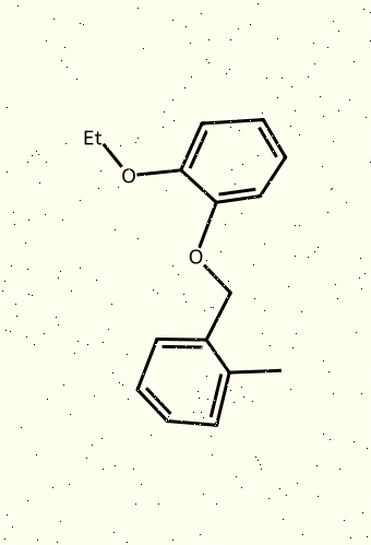 CCOc1ccccc1OCc1ccccc1C